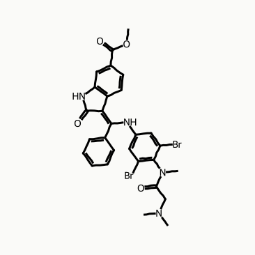 COC(=O)c1ccc2c(c1)NC(=O)C2=C(Nc1cc(Br)c(N(C)C(=O)CN(C)C)c(Br)c1)c1ccccc1